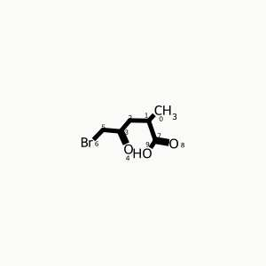 CC(CC(=O)CBr)C(=O)O